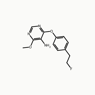 COc1ncnc(Oc2ccc(CCF)cc2)c1N